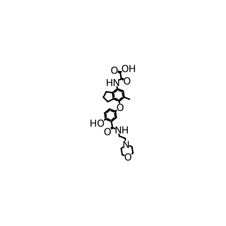 Cc1cc(NC(=O)C(=O)O)c2c(c1Oc1ccc(O)c(C(=O)NCCN3CCOCC3)c1)CCC2